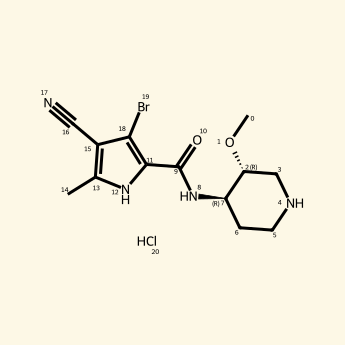 CO[C@@H]1CNCC[C@H]1NC(=O)c1[nH]c(C)c(C#N)c1Br.Cl